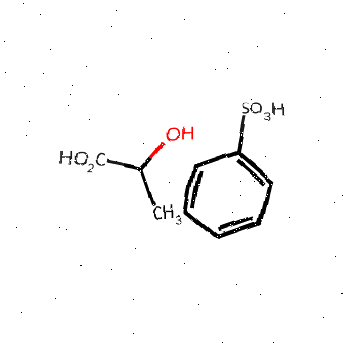 CC(O)C(=O)O.O=S(=O)(O)c1ccccc1